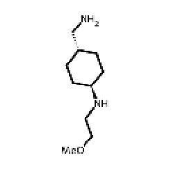 COCCN[C@H]1CC[C@H](CN)CC1